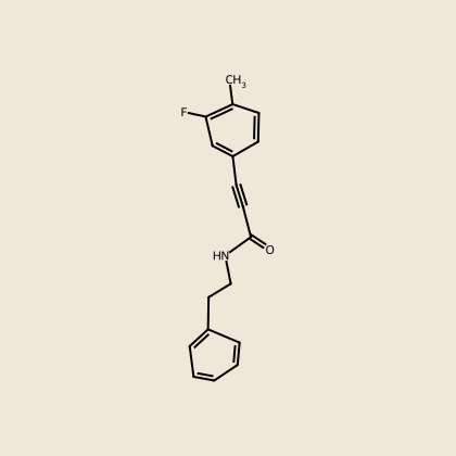 Cc1ccc(C#CC(=O)NCCc2ccccc2)cc1F